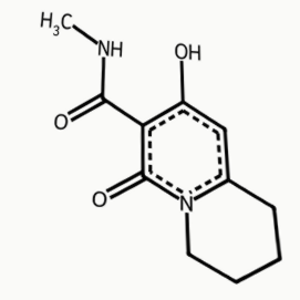 CNC(=O)c1c(O)cc2n(c1=O)CCCC2